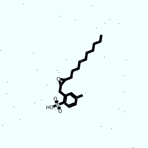 CCCCCCCCCCC1OC1Cc1cc(C)ccc1S(=O)(=O)O